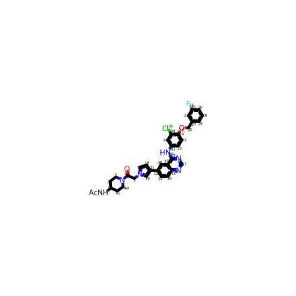 CC(=O)NC1CCN(C(=O)Cn2ccc(-c3ccc4ncnc(Nc5ccc(OCc6cccc(F)c6)c(Cl)c5)c4c3)c2)CC1